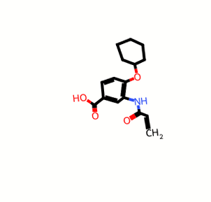 C=CC(=O)Nc1cc(C(=O)O)ccc1OC1CCCCC1